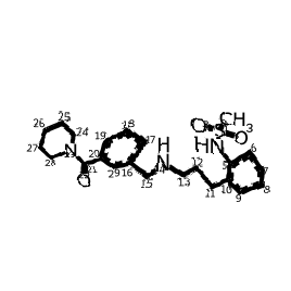 CS(=O)(=O)Nc1ccccc1CCCNCc1cccc(C(=O)N2CCCCC2)c1